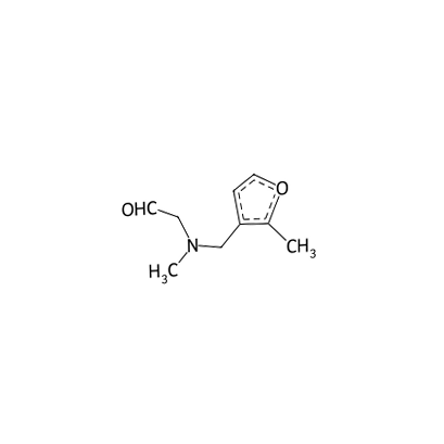 Cc1occc1CN(C)CC=O